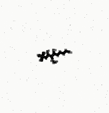 O=S(=O)([O-])CC(F)C(F)C(F)CCCCF.[Na+]